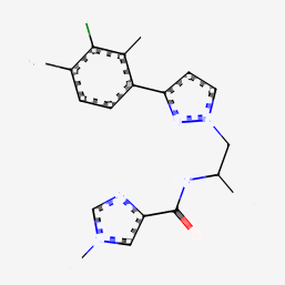 Cc1c(-c2ccn(CC(C)NC(=O)c3cn(C)cn3)n2)ccc(C#N)c1Cl